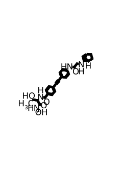 C[C@@H](O)[C@H](NC(=O)c1ccc(C#Cc2ccc(NC(=O)CN[C@@H]3CC4CC[C@@H]3C4)cc2)cc1)C(=O)NO